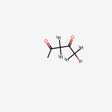 [2H]C([2H])(Br)C(=O)C([2H])([2H])C(C)=O